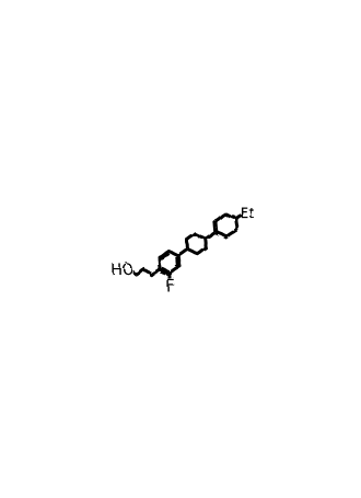 CCC1CCC(C2CCC(c3ccc(CCCO)c(F)c3)CC2)CC1